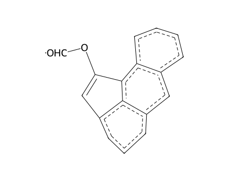 O=[C]OC1=Cc2cccc3cc4ccccc4c1c23